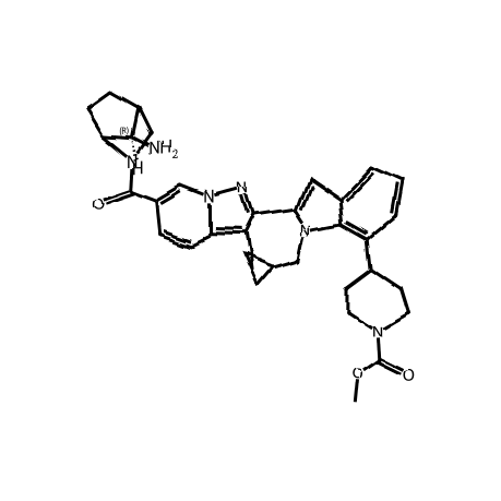 COC(=O)N1CCC(c2cccc3cc(-c4nn5cc(C(=O)N6CC7CCC6[C@@H]7N)ccc5c4C)n(CC4CC4)c23)CC1